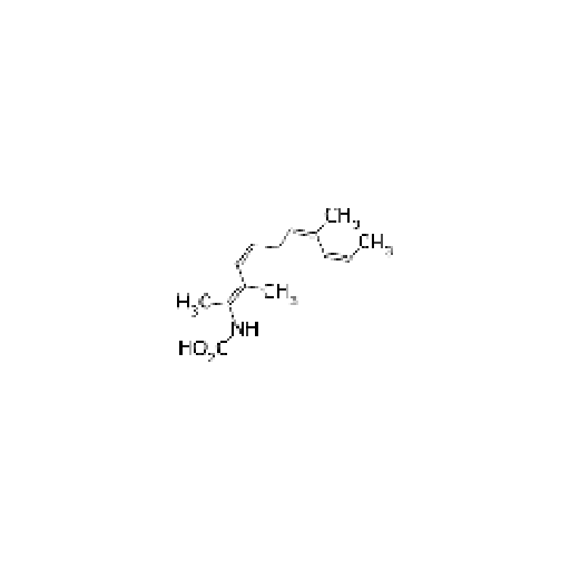 C/C=C\C(C)=C/C/C=C\C(C)=C(/C)NC(=O)O